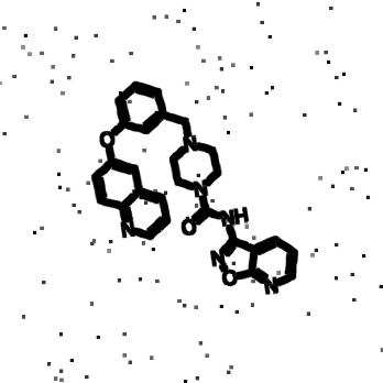 O=C(Nc1noc2ncccc12)N1CCN(Cc2cccc(Oc3ccc4ncccc4c3)c2)CC1